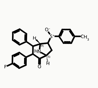 Cc1ccc([S+]([O-])C2C[C@@H]3N[C@@H]2C(c2ccccc2)C(c2ccc(F)cc2)C3=O)cc1